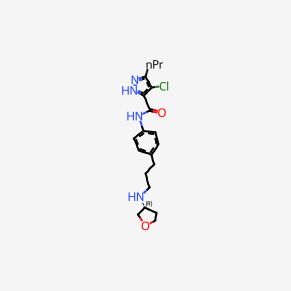 CCCc1n[nH]c(C(=O)Nc2ccc(CCCN[C@@H]3CCOC3)cc2)c1Cl